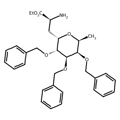 CCOC(=O)[C@@H](N)C[C@@H]1O[C@@H](C)[C@@H](OCc2ccccc2)[C@@H](OCc2ccccc2)[C@@H]1OCc1ccccc1